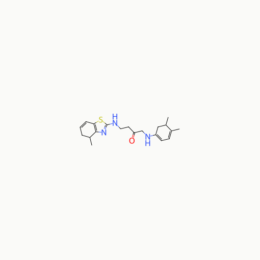 CC1=CC=C(NCC(=O)CCNc2nc3c(s2)C=CCC3C)CC1C